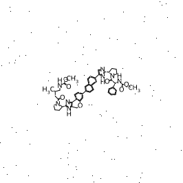 COC(=O)NCC(C)CC(=O)N1CCCC1c1nc2c([nH]1)COc1cc(-c3ccc4cc(-c5cnc(C6CCCN6C(=O)C(NC(=O)OC)c6ccccc6)[nH]5)ccc4c3)ccc1-2